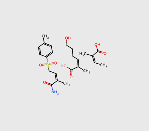 CC(=CCCCO)C(=O)O.CC(=CCS(=O)(=O)c1ccc(C)cc1)C(N)=O.CC=C(C)C(=O)O